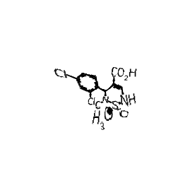 CN1C(c2ccc(Cl)cc2Cl)C(C(=O)O)=CNS1(=O)=O